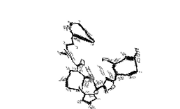 CN(CCc1ccccn1)C(=O)[C@@H]1CCCN(C2CCCC2)C1NC(=O)c1cc(-c2ccc(F)cc2F)on1